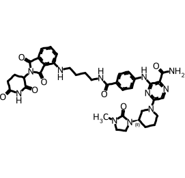 CN1CCN([C@@H]2CCCN(c3cnc(C(N)=O)c(Nc4ccc(C(=O)NCCCCNc5cccc6c5C(=O)N(C5CCC(=O)NC5=O)C6=O)cc4)n3)C2)C1=O